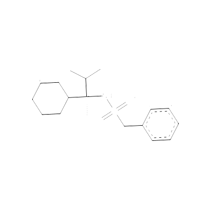 CC(C)[C@@](C)(NS(=O)(=O)Cc1ccccc1)C1CCCCC1